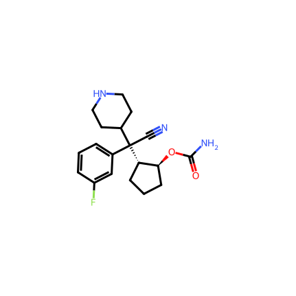 N#CC(c1cccc(F)c1)(C1CCNCC1)[C@H]1CCC[C@@H]1OC(N)=O